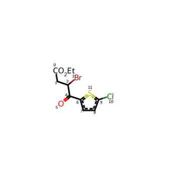 CCOC(=O)CC(Br)C(=O)c1ccc(Cl)s1